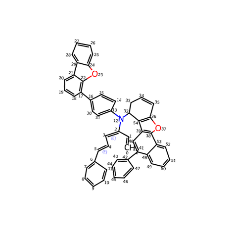 C=C/C(=C\C=C\c1ccccc1)N(c1ccc(-c2cccc3c2oc2ccccc23)cc1)C1CC=Cc2oc3c(cc(-c4ccccc4)c4ccccc43)c21